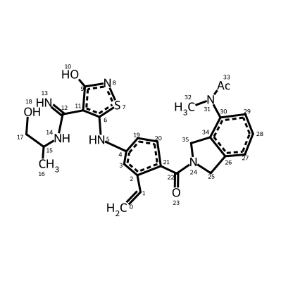 C=Cc1cc(Nc2snc(O)c2C(=N)NC(C)CO)ccc1C(=O)N1Cc2cccc(N(C)C(C)=O)c2C1